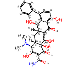 CN(C)[C@@H]1C(O)=C(C(N)=O)C(=O)[C@@]2(O)C(O)=C3C(=O)c4c(O)ccc(-c5ccccc5)c4[C@H](O)[C@H]3C[C@@H]12